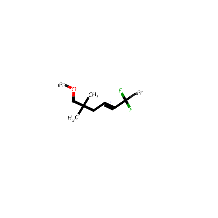 CC(C)OCC(C)(C)C/C=C/C(F)(F)C(C)C